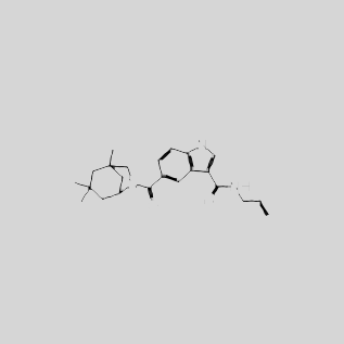 C=CCNC(=O)c1c[nH]c2ccc(C(=O)N3CC4(C)CC3CC(C)(C)C4)cc12